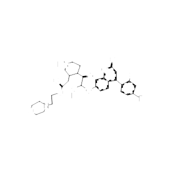 CC(Oc1ccc2c(-c3ccc(F)cc3Cl)cc(=O)oc2c1)C(=O)C1CCNCC1CC(=O)OCCN1CCOCC1